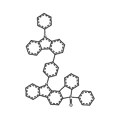 O=P1(c2ccccc2)c2ccccc2-c2c1ccc1c3ccccc3n(-c3ccc(-c4cccc5c4c4ccccc4n5-c4ccccc4)cc3)c21